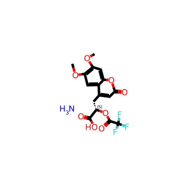 COc1cc2oc(=O)cc(C[C@H](OC(=O)C(F)(F)F)C(=O)O)c2cc1OC.N